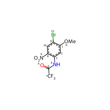 COc1cc(NC(=O)C(F)(F)F)c([N+](=O)[O-])cc1Br